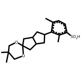 Cc1ccc(S(=O)(=O)O)c(C)c1C1CC2CC3(CC2C1)OCC(C)(C)CO3